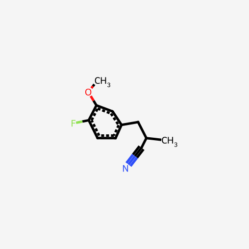 COc1cc(CC(C)C#N)ccc1F